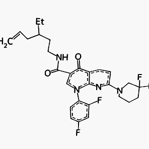 C=CCC(CC)CCNC(=O)c1cn(-c2ccc(F)cc2F)c2nc(N3CCCC(F)(F)C3)ccc2c1=O